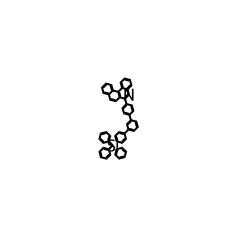 c1ccc([Si](c2ccccc2)(c2ccccc2)c2ccc(-c3cccc(-c4ccc(-c5nc6ccccc6c6c5ccc5ccccc56)cc4)c3)cc2)cc1